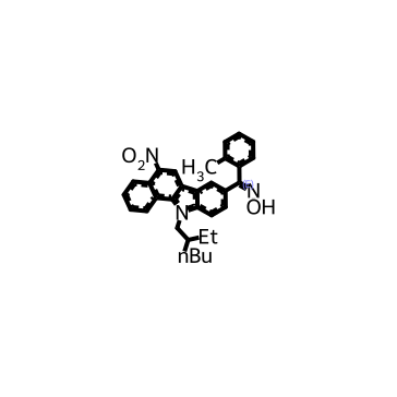 CCCCC(CC)Cn1c2ccc(/C(=N\O)c3ccccc3C)cc2c2cc([N+](=O)[O-])c3ccccc3c21